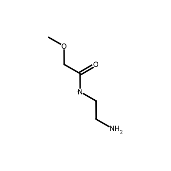 COCC(=O)[N]CCN